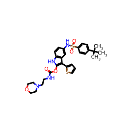 CC(C)(C)c1ccc(S(=O)(=O)Nc2ccc3[nH]c(OC(=O)NCCN4CCOCC4)c(-c4cccs4)c3c2)cc1